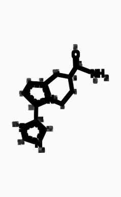 NC(=O)C1CCn2c(ccc2-c2cncs2)C1